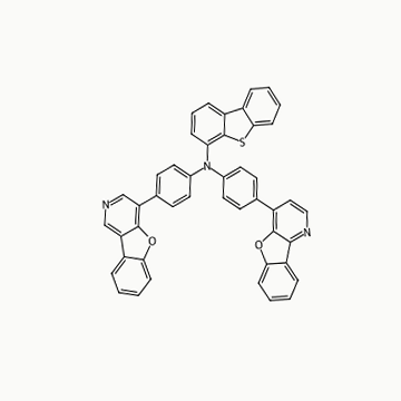 c1ccc2c(c1)oc1c(-c3ccc(N(c4ccc(-c5ccnc6c5oc5ccccc56)cc4)c4cccc5c4sc4ccccc45)cc3)cncc12